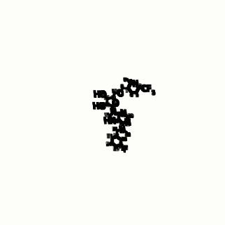 Cc1nc(C(F)(F)F)ccc1COC[C@H]1O[C@@H](N2CNc3c(N(C)Cc4cccc(F)c4)ncnc32)[C@H](O)[C@@H]1O